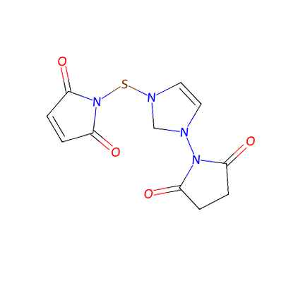 O=C1C=CC(=O)N1SN1C=CN(N2C(=O)CCC2=O)C1